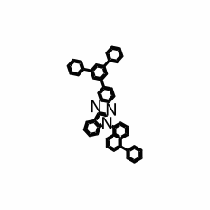 c1ccc(-c2cc(-c3ccccc3)cc(-c3ccc4nc5c(nc4c3)c3ccccc3n5-c3cccc4c(-c5ccccc5)cccc34)c2)cc1